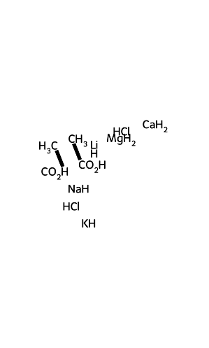 CC(=O)O.CC(=O)O.Cl.Cl.[CaH2].[KH].[LiH].[MgH2].[NaH]